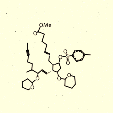 CC#CCCC(C)[C@@H](C=C[C@@H]1[C@@H](CC=CCCCC(=O)OC)[C@@H](OS(=O)(=O)c2ccc(C)cc2)C[C@H]1OC1CCCCO1)OC1CCCCO1